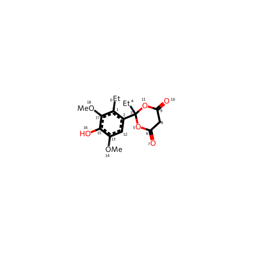 CCc1c(C2(CC)OC(=O)CC(=O)O2)cc(OC)c(O)c1OC